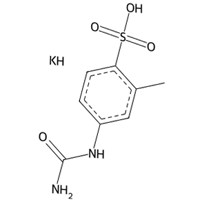 Cc1cc(NC(N)=O)ccc1S(=O)(=O)O.[KH]